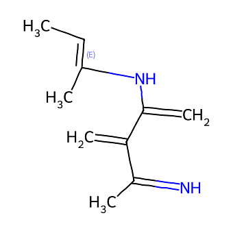 C=C(N/C(C)=C/C)C(=C)C(C)=N